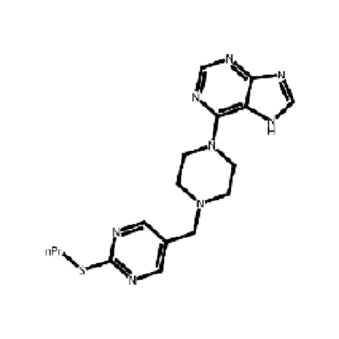 CCCSc1ncc(CN2CCN(c3ncnc4nc[nH]c34)CC2)cn1